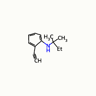 C#Cc1ccccc1NC(C)(C)CC